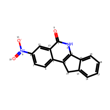 O=c1[nH]c2c(c3ccc([N+](=O)[O-])cc13)Cc1ccccc1-2